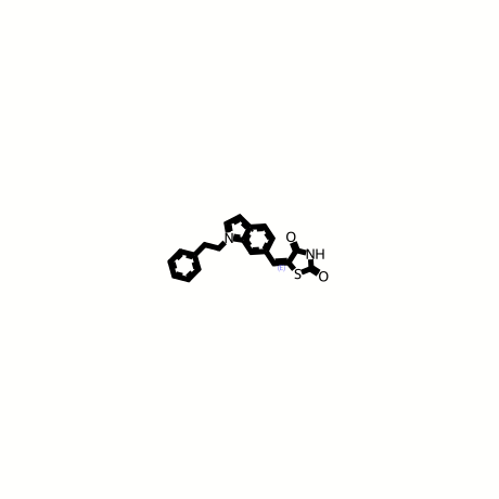 O=C1NC(=O)/C(=C\c2ccc3ccn(CCc4ccccc4)c3c2)S1